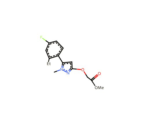 CCc1cc(F)ccc1-c1cc(OCC(=O)OC)nn1C